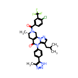 Cc1nn[nH]c1-c1ccc(-n2c(=O)c3c(n4ncc(CC(C)C)c24)CN(C(=O)c2ccc(Cl)c(C(F)(F)F)c2)[C@@H](C)C3)cc1